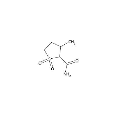 C[C]1CCS(=O)(=O)C1C(N)=O